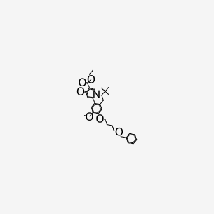 CCOC(=O)c1cn2c(cc1=O)-c1cc(OC)c(OCCCCOCc3ccccc3)cc1CC2C(C)(C)C